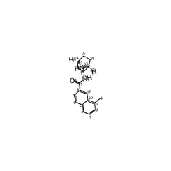 Cc1cccc2ccc(C(=O)N[C@@H]3C[C@H]4CC[C@@H]3N4)cc12